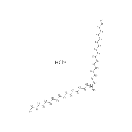 CCCCCCCCCCCCCCCCCCN(C)CCCCCCCCCCCCCCCCCC.Cl